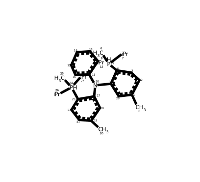 Cc1ccc([PH](C)(C(C)C)C(C)C)c(N(c2ccccc2)c2cc(C)ccc2[PH](C)(C(C)C)C(C)C)c1